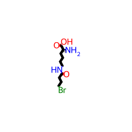 N[C@@H](CCCCNC(=O)CCCBr)C(=O)O